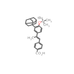 C/C(=C\c1ccc(C(=O)O)cc1)c1ccc(O[Si](C)(C)C(C)(C)C)c(C23CC4CC(CC(C4)C2)C3)c1